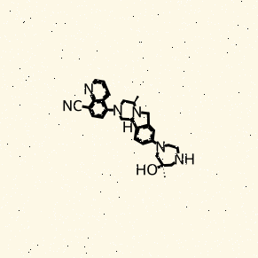 C[C@@H]1CN(c2ccc(C#N)c3ncccc23)C[C@@H]2c3ccc(N4CCNC[C@@](C)(O)C4)cc3CN12